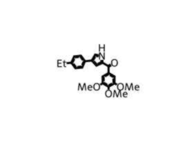 CCc1ccc(-c2c[nH]c(C(=O)c3cc(OC)c(OC)c(OC)c3)c2)cc1